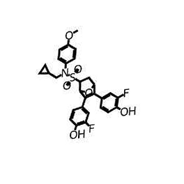 COc1ccc(N(CC2CC2)S(=O)(=O)C2CC3OC2C(c2ccc(O)c(F)c2)=C3c2ccc(O)c(F)c2)cc1